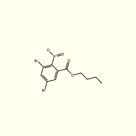 CCCCOC(=O)c1cc(Br)cc(Br)c1[N+](=O)[O-]